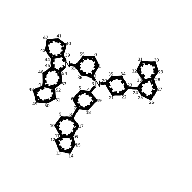 c1cc(N(c2ccc(-c3ccc4ccccc4c3)cc2)c2ccc(-c3cccc4ccccc34)cc2)cc(-n2c3ccccc3c3cc4ccccc4cc32)c1